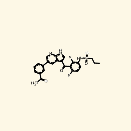 CCCS(=O)(=O)Nc1ccc(F)c(C(=O)c2c[nH]c3ncc(-c4cccc(C(N)=O)c4)cc23)c1F